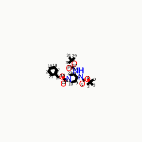 CC(C)(C)OC(=O)NC1CCN(C(=O)OCc2ccccc2)CC1NC(=O)OC(C)(C)C